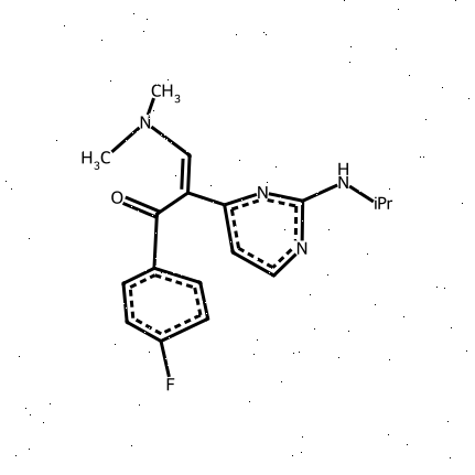 CC(C)Nc1nccc(C(=CN(C)C)C(=O)c2ccc(F)cc2)n1